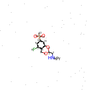 CC(C)NCC1OCc2c(F)cc(S(C)(=O)=O)cc2O1